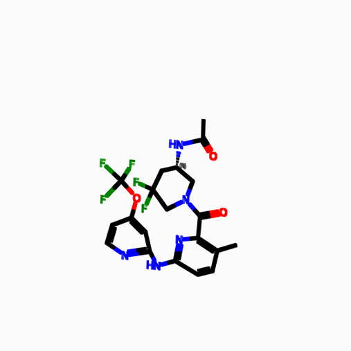 CC(=O)N[C@@H]1CN(C(=O)c2nc(Nc3cc(OC(F)(F)F)ccn3)ccc2C)CC(F)(F)C1